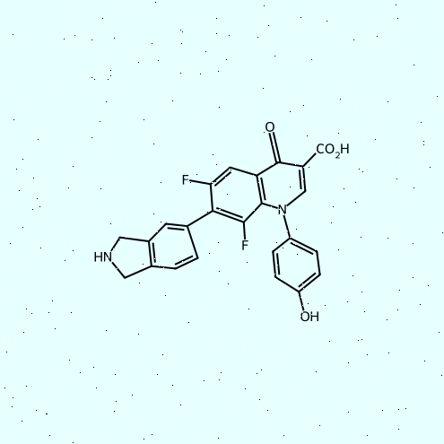 O=C(O)c1cn(-c2ccc(O)cc2)c2c(F)c(-c3ccc4c(c3)CNC4)c(F)cc2c1=O